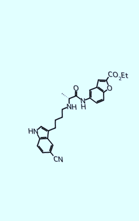 CCOC(=O)c1cc2cc(NC(=O)[C@@H](C)NCCCCc3c[nH]c4ccc(C#N)cc34)ccc2o1